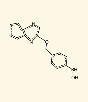 OBc1ccc(COc2cnc3ccccc3n2)cc1